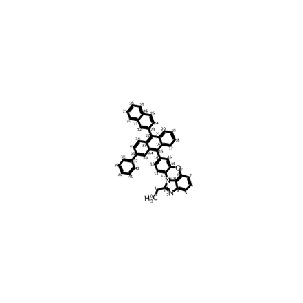 CCc1nc2cccc3c2n1-c1ccc(-c2c4ccccc4c(-c4ccc5ccccc5c4)c4ccc(-c5ccccc5)cc24)cc1O3